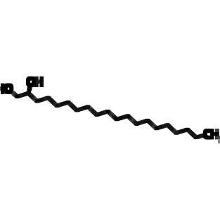 CCCCCCCCCCCCCCCCCC[C@H](O)CO